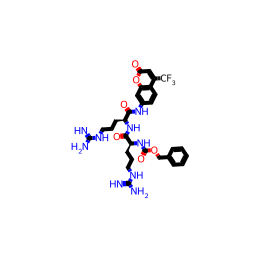 N=C(N)NCCC[C@H](NC(=O)OCc1ccccc1)C(=O)N[C@@H](CCCNC(=N)N)C(=O)Nc1ccc2c(C(F)(F)F)cc(=O)oc2c1